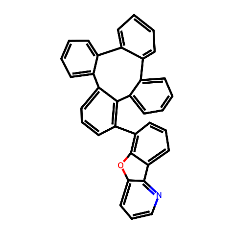 c1ccc2c(c1)-c1ccccc1-c1cccc(-c3cccc4c3oc3cccnc34)c1-c1ccccc1-2